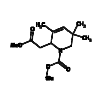 COC(=O)CC1C(C)=CC(C)(C)CN1C(=O)OC(C)(C)C